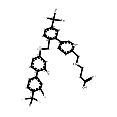 O=C(O)CCNCc1ccc(-c2cc(C(F)(F)F)ccc2CNc2ccc(-c3ccc(C(F)(F)F)c(F)c3)c(Cl)c2)cn1